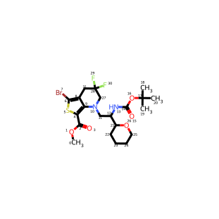 COC(=O)c1sc(Br)c2c1N(CC(NC(=O)OC(C)(C)C)C1CCCCO1)CC(F)(F)C2